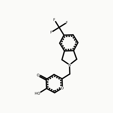 O=c1cc(CN2Cc3ccc(C(F)(F)F)cc3C2)occ1O